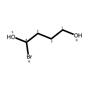 OCCCC(O)Br